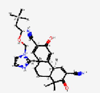 CC1(C)C(=O)C(C#N)=C[C@]2(C)C3=CC(=O)C(C#N)=CC3(c3nccn3COCC[Si](C)(C)C)CCC12